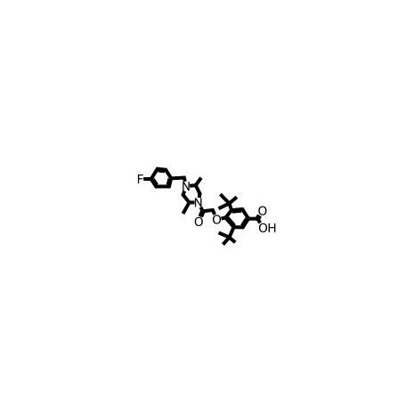 CC1CN(C(=O)COc2c(C(C)(C)C)cc(C(=O)O)cc2C(C)(C)C)C(C)CN1Cc1ccc(F)cc1